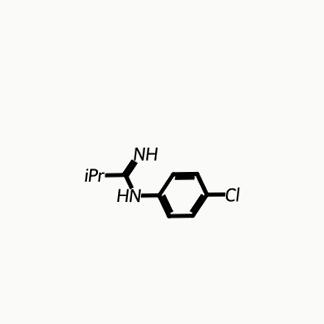 CC(C)C(=N)Nc1ccc(Cl)cc1